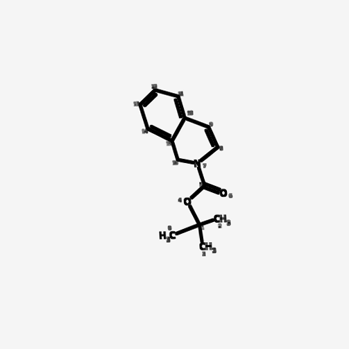 CC(C)(C)OC(=O)N1C=Cc2ccccc2C1